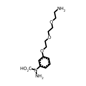 NCCOCCOCCOc1cccc(N(N)C(=O)O)c1